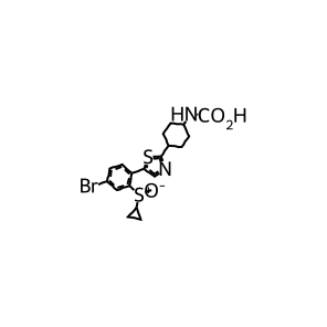 O=C(O)NC1CCC(c2ncc(-c3ccc(Br)cc3[S+]([O-])C3CC3)s2)CC1